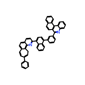 C1=Cc2ccc3ccc(-c4ccc(-c5cccc(-c6nc7ccccc7c7c6ccc6ccccc67)c5)c5ccccc45)nc3c2CC=C1c1ccccc1